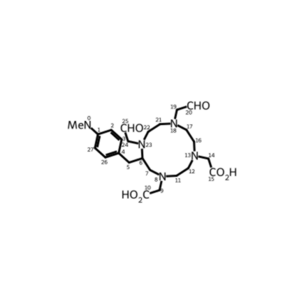 CNc1ccc(CC2CN(CC(=O)O)CCN(CC(=O)O)CCN(CC=O)CCN2CC=O)cc1